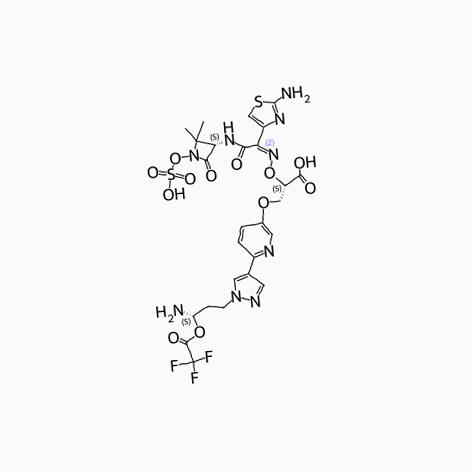 CC1(C)[C@H](NC(=O)/C(=N\O[C@@H](COc2ccc(-c3cnn(CC[C@@H](N)OC(=O)C(F)(F)F)c3)nc2)C(=O)O)c2csc(N)n2)C(=O)N1OS(=O)(=O)O